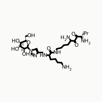 CC(C)[C@H](N)C(=O)C(=O)C(N)CCCCNC(=O)C(CCCCN)NCc1cn(C2O[C@@H](CO)[C@@H](O)[C@@H](O)[C@@H]2O)nn1